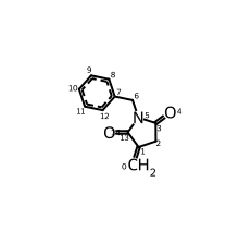 C=C1CC(=O)N(Cc2ccccc2)C1=O